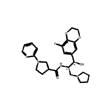 O=C(N[C@H](CN1CCCC1)[C@H](O)c1cc(F)c2c(c1)OCCO2)C1CCN(c2ccccn2)C1